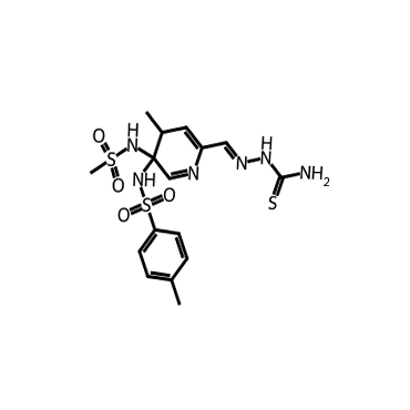 Cc1ccc(S(=O)(=O)NC2(NS(C)(=O)=O)C=NC(C=NNC(N)=S)=CC2C)cc1